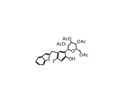 CC(=O)OC[C@H]1O[C@@H](c2cc(Cc3cc4ccccc4s3)c(F)cc2O)[C@H](OC(C)=O)[C@@H](OC(C)=O)[C@@H]1OC(C)=O